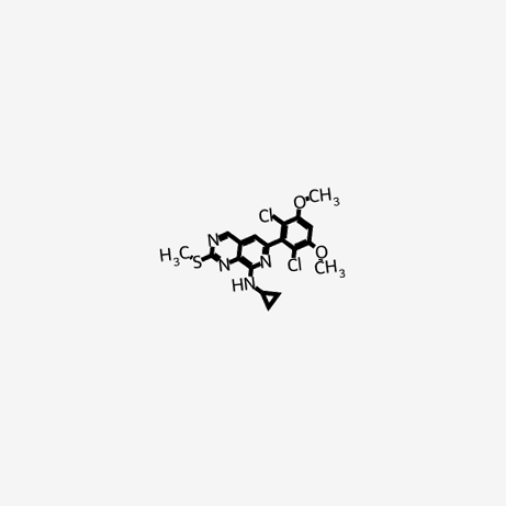 COc1cc(OC)c(Cl)c(-c2cc3cnc(SC)nc3c(NC3CC3)n2)c1Cl